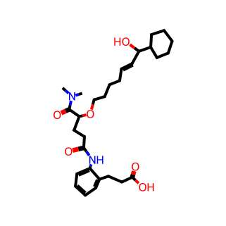 CN(C)C(=O)C(CCC(=O)Nc1ccccc1CCC(=O)O)OCCCC/C=C/C(O)C1CCCCC1